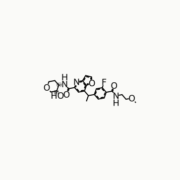 COCCNC(=O)c1ccc(C(C)c2cc(C(=O)N[C@H]3CCOC[C@@H]3O)nc3ccoc23)cc1F